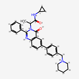 CC(C(=O)NC1CC1)n1c(-c2ccccc2)nc2ccc(-c3ccc(CN4CCCCC4)cc3)cc2c1=O